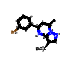 CCOC(=O)c1cnn2c(C)cc(-c3cccc(Br)c3)nc12